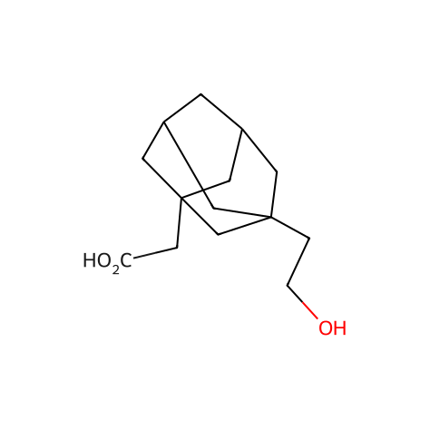 O=C(O)CC12CC3CC(CC(CCO)(C3)C1)C2